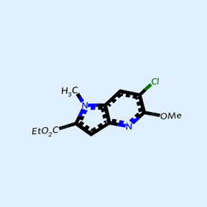 CCOC(=O)c1cc2nc(OC)c(Cl)cc2n1C